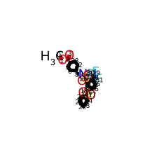 COC(=O)[C@H]1CC[C@H](CNS(=O)(=O)c2cc(S(=O)(=O)c3ccccc3)ccc2C(F)(F)F)CC1